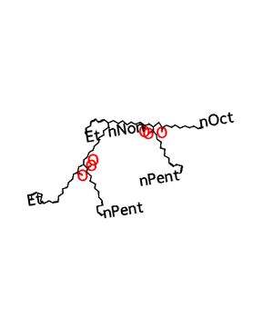 CC/C=C\C/C=C\C=C\C(CCCCCCCC(=O)CC(CC(=O)CCCCCCC/C=C\CCCCCCCC)C(=O)CCCCCCC/C=C\C/C=C\CCCCC)C(CCCCCCCCC)CCCCCCCC(=O)CC(CC(=O)CCCCCCC/C=C\C/C=C\C/C=C\CC)C(=O)CCCCCCC/C=C\C/C=C\CCCCC